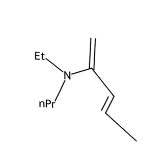 C=C(/C=C/C)N(CC)CCC